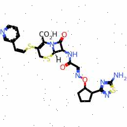 Nc1nc(C2CCCC2O/N=C/C(=O)NC2C(=O)N3C(C(=O)O)=C(S/C=C\c4cccnc4)CS[C@H]23)ns1